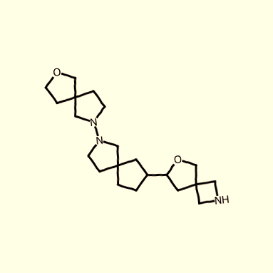 C1CC2(CCN(N3CCC4(CCC(C5CC6(CNC6)CO5)C4)C3)C2)CO1